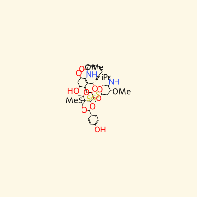 CC#C/C=C\C#C[C@H](OC1OC(C)C2(SC)COC(c3ccc(O)cc3)OC2C1OC1CC(OC)C(NC(C)C)CO1)C1=C(NC(=O)OC)C(=O)C[C@H](O)/C1=C/CS(C)(=S)=S